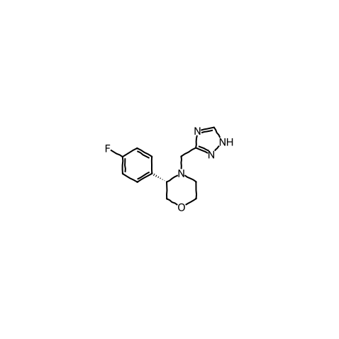 Fc1ccc([C@H]2COCCN2Cc2nc[nH]n2)cc1